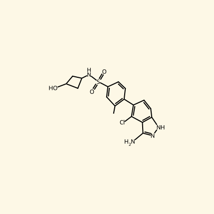 Cc1cc(S(=O)(=O)NC2CC(O)C2)ccc1-c1ccc2[nH]nc(N)c2c1Cl